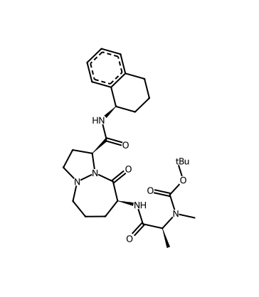 C[C@@H](C(=O)N[C@H]1CCCN2CC[C@@H](C(=O)N[C@@H]3CCCc4ccccc43)N2C1=O)N(C)C(=O)OC(C)(C)C